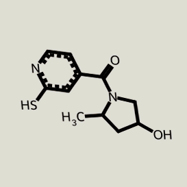 CC1CC(O)CN1C(=O)c1ccnc(S)c1